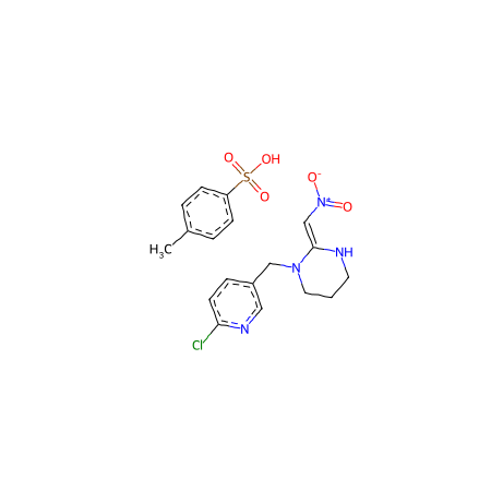 Cc1ccc(S(=O)(=O)O)cc1.O=[N+]([O-])C=C1NCCCN1Cc1ccc(Cl)nc1